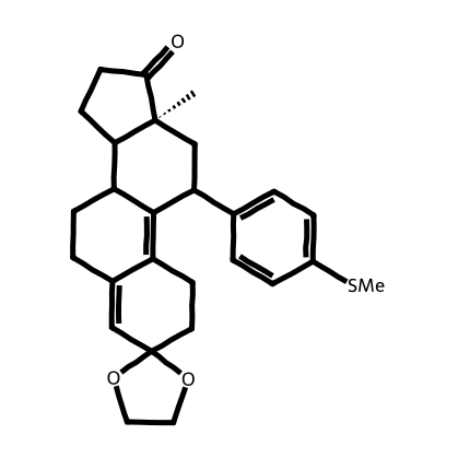 CSc1ccc(C2C[C@]3(C)C(=O)CCC3C3CCC4=CC5(CCC4=C23)OCCO5)cc1